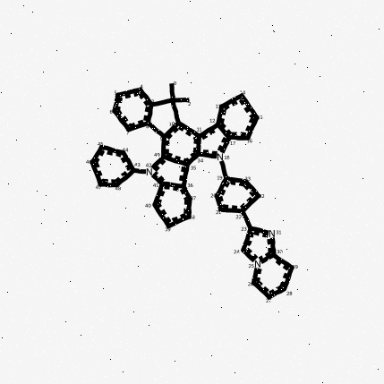 CC1(C)c2ccccc2-c2c1c1c3ccccc3n(-c3ccc(-c4cn5ccccc5n4)cc3)c1c1c3ccccc3n(-c3ccccc3)c21